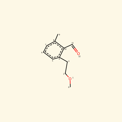 COCCc1cccc(C)c1C=O